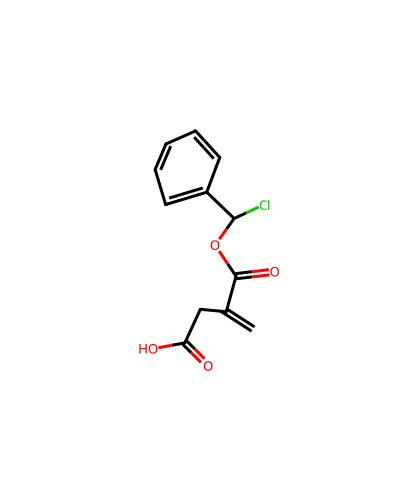 C=C(CC(=O)O)C(=O)OC(Cl)c1ccccc1